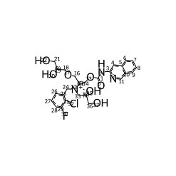 O=C(Nc1cc2ccccc2cn1)OC[C@H](COC[C@H](O)CO)[N+](Cc1cccc(F)c1Cl)C[C@H](O)CO